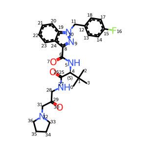 CC(C)(C)[C@H](NC(=O)c1nn(Cc2ccc(F)cc2)c2ccccc12)C(=O)NCC(=O)CN1CCCC1